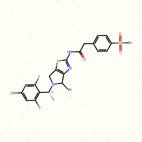 CCS(=O)(=O)c1ccc(CC(=O)Nc2nc3c(s2)CN([C@H](C)c2c(F)cc(Cl)cc2F)C3C(C)C)cc1